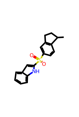 CC1CCc2cc(S(=O)(=O)c3cc4ccccc4[nH]3)ccc21